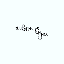 CC(C)(C)C(=O)ON1CCN(CCc2csc3nc(-c4ccccc4[N+](=O)[O-])cn23)CC1